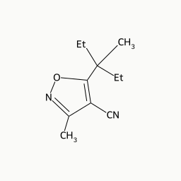 CCC(C)(CC)c1onc(C)c1C#N